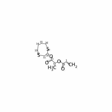 C=CC(=O)OC(C)C(=O)OC1CSCCCCS1